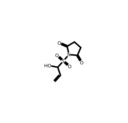 C=CC(O)S(=O)(=O)N1C(=O)CCC1=O